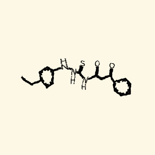 CCc1ccc(NNC(=S)NC(=O)CC(=O)c2ccccc2)cc1